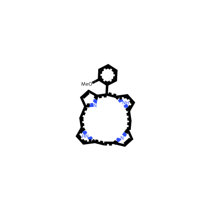 COc1ccccc1-c1c2nc(cc3ccc(cc4nc(cc5ccc1[nH]5)C=C4)[nH]3)C=C2